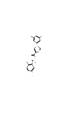 COc1ccc(Cl)c(S(=O)(=O)NC(=O)c2cn(-c3cc(Br)cc(Br)c3)cn2)c1